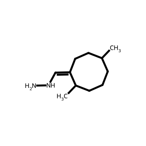 CC1CCCC(C)/C(=C\NN)CC1